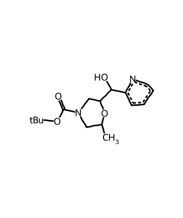 CC1CN(C(=O)OC(C)(C)C)CC(C(O)c2ccccn2)O1